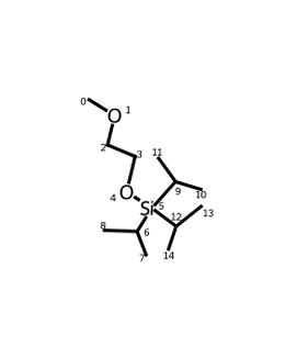 COCCO[Si](C(C)C)(C(C)C)C(C)C